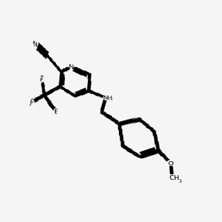 COC1=CCC(CNc2cnc(C#N)c(C(F)(F)F)c2)CC1